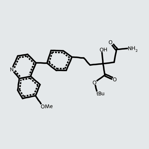 COc1ccc2nccc(-c3ccc(CCC(O)(CC(N)=O)C(=O)OC(C)(C)C)cc3)c2c1